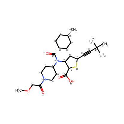 COCC(=O)N1CCC(N(C(=O)[C@H]2CC[C@@H](C)CC2)C2CC(C#CC(C)(C)C)SC2C(=O)O)CC1